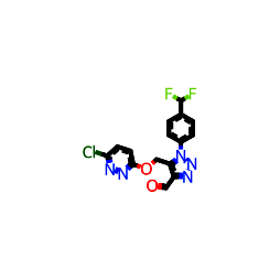 O=Cc1nnn(-c2ccc(C(F)F)cc2)c1COc1ccc(Cl)nn1